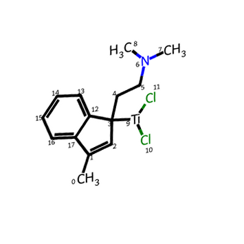 CC1=C[C](CCN(C)C)([Ti]([Cl])[Cl])c2ccccc21